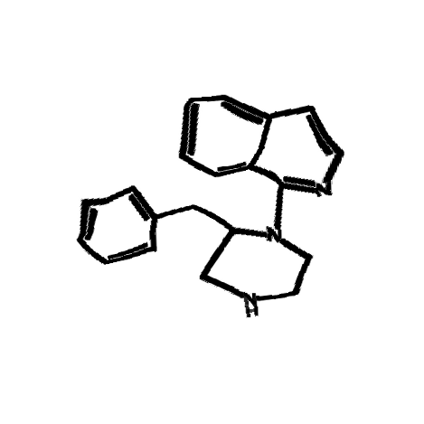 c1ccc(CC2CNCCN2c2nccc3ccccc23)cc1